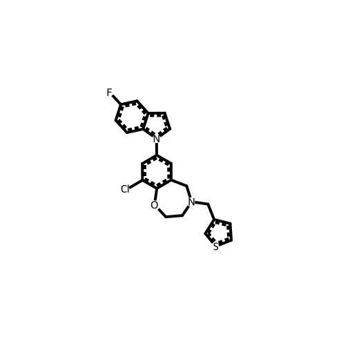 Fc1ccc2c(ccn2-c2cc(Cl)c3c(c2)CN(Cc2ccsc2)CCO3)c1